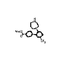 COC(=O)c1ccc(-c2cc(C(F)(F)F)ccc2N2CCCNCC2)cc1